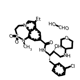 CCc1cn2c3c(cc(C(=O)N[C@@H](Cc4cccc(Cl)c4)[C@H](O)CNC4CCOCC4)cc13)N(C)S(=O)(=O)CC2.O=CO